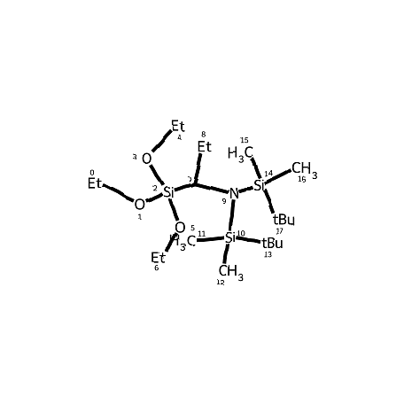 CCO[Si](OCC)(OCC)C(CC)N([Si](C)(C)C(C)(C)C)[Si](C)(C)C(C)(C)C